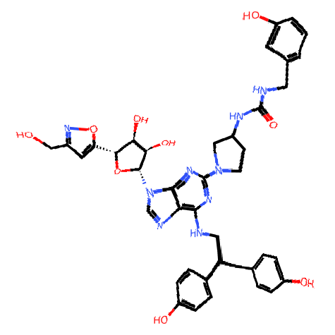 O=C(NCc1cccc(O)c1)NC1CCN(c2nc(NCC(c3ccc(O)cc3)c3ccc(O)cc3)c3ncn([C@@H]4O[C@H](c5cc(CO)no5)[C@@H](O)[C@H]4O)c3n2)C1